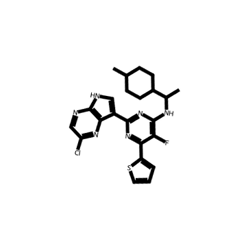 CC1CCC(C(C)Nc2nc(-c3c[nH]c4ncc(Cl)nc34)nc(-c3cccs3)c2F)CC1